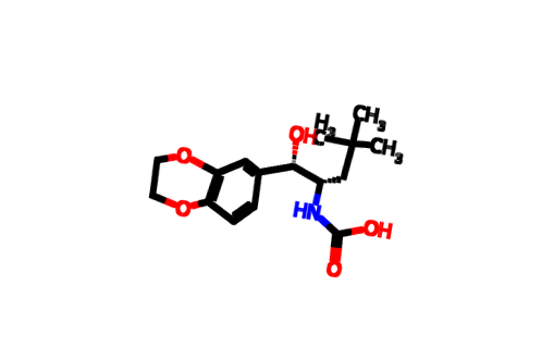 CC(C)(C)C[C@H](NC(=O)O)[C@@H](O)c1ccc2c(c1)OCCO2